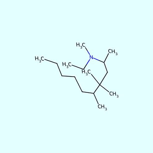 CCCCCC(C)C(C)(C)CC(C)N(C)CC